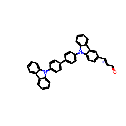 O=C/C=C/c1ccc2c(c1)c1ccccc1n2-c1ccc(-c2ccc(-n3c4ccccc4c4ccccc43)cc2)cc1